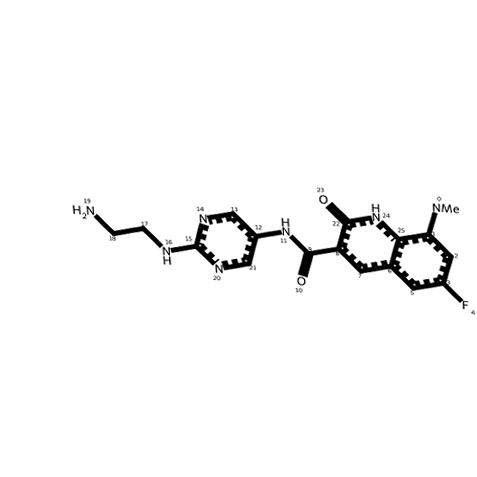 CNc1cc(F)cc2cc(C(=O)Nc3cnc(NCCN)nc3)c(=O)[nH]c12